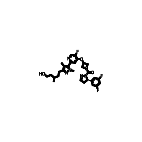 Cc1c(CCC(C)CCO)nn(C)c1-c1cc(OC2CN(C(=O)N3N=CC[C@H]3c3cc(F)cc(F)c3)C2)c(F)cn1